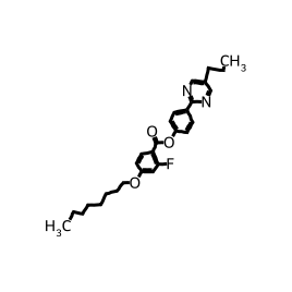 CCCCCCCCOc1ccc(C(=O)Oc2ccc(-c3ncc(CCC)cn3)cc2)c(F)c1